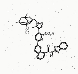 CCOC12CC3(C)CC(C)(CC(Cn4ncc(-c5ccc(-c6ccc7nccc(C(=O)Nc8nc9ccccc9s8)c7c6)nc5C(=O)O)c4C)(C3)C1)C2